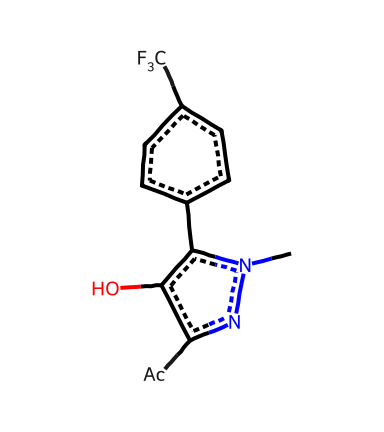 CC(=O)c1nn(C)c(-c2ccc(C(F)(F)F)cc2)c1O